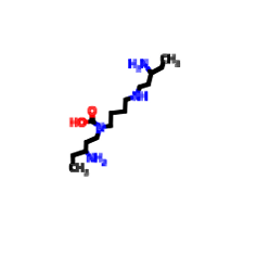 CCC(N)CCNCCCCN(CCC(N)CC)C(=O)O